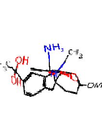 COC1CCC2(CC1)Cc1ccc(C(O)(O)C(F)(F)F)cc1C21N=C(N)N(C)C1=O